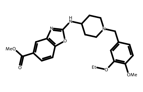 CCOc1cc(CN2CCC(Nc3nc4cc(C(=O)OC)ccc4o3)CC2)ccc1OC